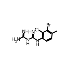 Cc1ccc(NC(=N)NC(=N)N)c(Cl)c1Br